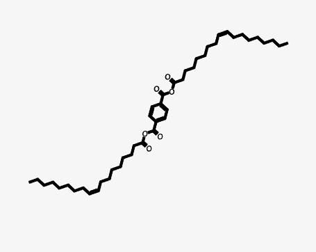 CCCCCCCC/C=C\CCCCCCCC(=O)OC(=O)c1ccc(C(=O)OC(=O)CCCCCCC/C=C\CCCCCCCC)cc1